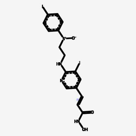 O=C(/C=C/c1cnc(NCC[S+]([O-])c2ccc(I)cc2)c(I)c1)NO